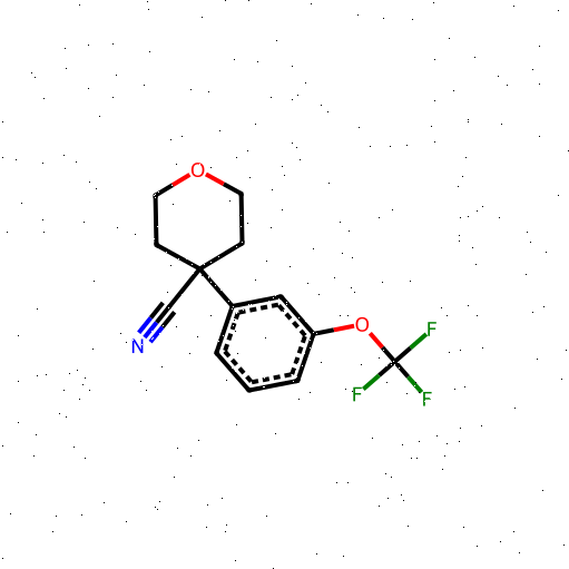 N#CC1(c2cccc(OC(F)(F)F)c2)CCOCC1